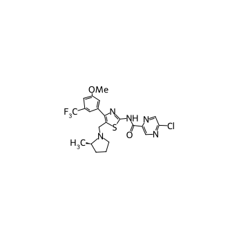 COc1cc(-c2nc(NC(=O)c3cnc(Cl)cn3)sc2CN2CCC[C@H]2C)cc(C(F)(F)F)c1